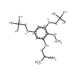 COc1c(OCC(C)N)cc(OCC(F)(F)F)cc1OCC(F)(F)F